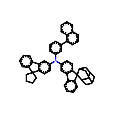 c1cc(-c2cccc3ccccc23)cc(N(c2ccc3c(c2)-c2ccccc2C32CCCC2)c2ccc3c(c2)-c2ccccc2C32C3CC4CC(C3)CC2C4)c1